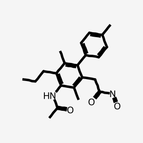 CCCc1c(C)c(-c2ccc(C)cc2)c(CC(=O)N=O)c(C)c1NC(C)=O